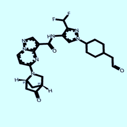 O=CCC1CCC(n2cc(NC(=O)c3cnn4ccc(N5C[C@H]6C[C@@H]5CC6=O)nc34)c(C(F)F)n2)CC1